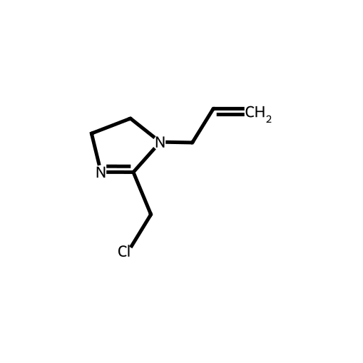 C=CCN1CCN=C1CCl